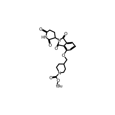 CC(C)(C)OC(=O)N1CCC(COc2cccc3c2C(=O)N(C2CCC(=O)NC2=O)C3=O)CC1